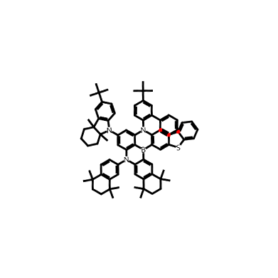 CC(C)(C)c1ccc(N2c3cc4c(cc3B3c5cc6c(cc5N(c5ccc7c(c5)C(C)(C)CCC7(C)C)c5cc(N7c8ccc(C(C)(C)C)cc8C8(C)CCCCC78C)cc2c53)C(C)(C)CCC6(C)C)sc2ccccc24)c(-c2ccccc2)c1